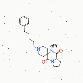 CCCN1C(=O)C2CCCN2C(=O)C12CCN(CCCCCc1ccccc1)CC2